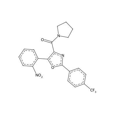 O=C(c1nc(-c2ccc(C(F)(F)F)cc2)oc1-c1ccccc1[N+](=O)[O-])N1CCCC1